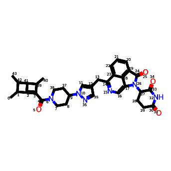 CC1C2=C(C(=O)N3CCC(n4cc(Cc5ncc6c7c(cccc57)C(=O)N6C5CCC(=O)NC5=O)cn4)CC3)C(C)C2C1C